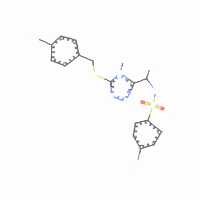 CCCC(NS(=O)(=O)c1ccc(Cl)cc1)c1nnc(SCc2ccc(C)cc2)n1C